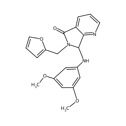 COc1cc(NC2c3ncccc3C(=O)N2Cc2ccco2)cc(OC)c1